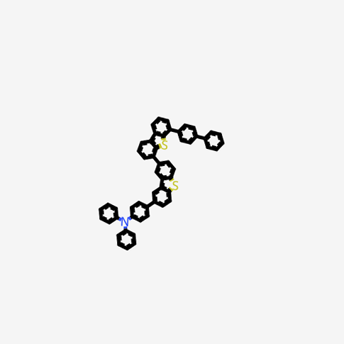 c1ccc(-c2ccc(-c3cccc4c3sc3c(-c5ccc6sc7ccc(-c8ccc(N(c9ccccc9)c9ccccc9)cc8)cc7c6c5)cccc34)cc2)cc1